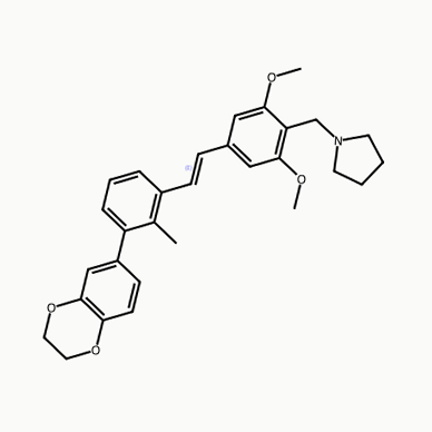 COc1cc(/C=C/c2cccc(-c3ccc4c(c3)OCCO4)c2C)cc(OC)c1CN1CCCC1